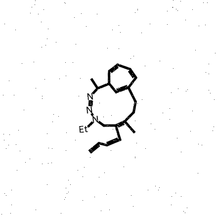 C=C/C=C\C1=C(/C)CCC2=CC(C=CC=C2)C(C)/N=N\N(CC)C1